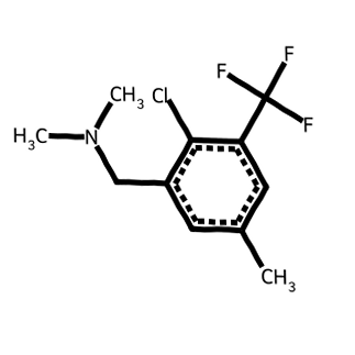 Cc1cc(CN(C)C)c(Cl)c(C(F)(F)F)c1